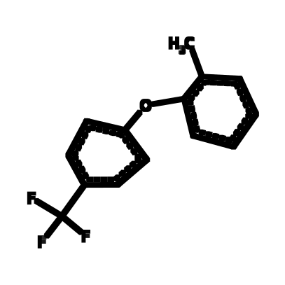 Cc1ccccc1Oc1ccc(C(F)(F)F)cc1